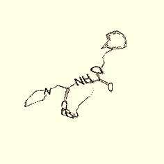 CC(C)(C)C[C@H](NC(=O)CN1CCCC1)C(=O)OCc1ccccc1